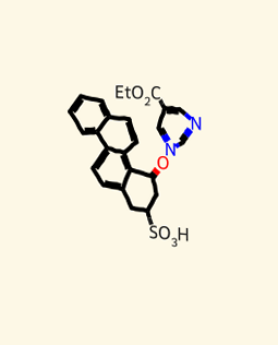 CCOC(=O)c1cncnc1.O=C1CC(S(=O)(=O)O)Cc2ccc3c(ccc4ccccc43)c21